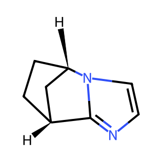 c1cn2c(n1)[C@@H]1CC[C@H]2C1